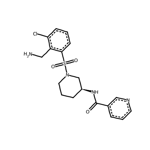 NCc1c(Cl)cccc1S(=O)(=O)N1CCC[C@H](NC(=O)c2cccnc2)C1